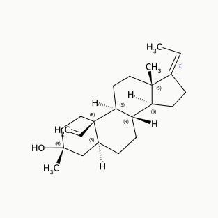 C=C[C@]12CC[C@@](C)(O)C[C@@H]1CC[C@@H]1[C@@H]2CC[C@]2(C)/C(=C\C)CC[C@@H]12